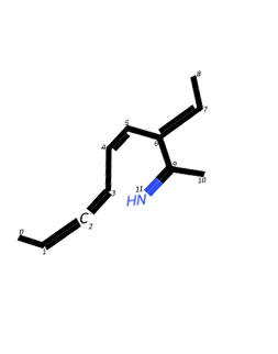 CC=C=C/C=C\C(=C/C)C(C)=N